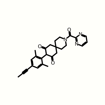 CC#Cc1cc(C)c(C2C(=O)CC3(CCN(C(=O)c4ncccn4)CC3)CC2=O)c(C)c1